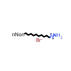 CCCCCCCCCCCCCCCCCCC[N+](C)(C)N.[Br-]